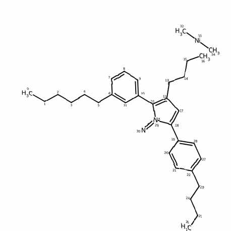 CCCCCCc1cccc(C2=C(CCCC)C=C(c3ccc(CCCC)cc3)[N+]2=[N-])c1.[CH3][Ni][CH3]